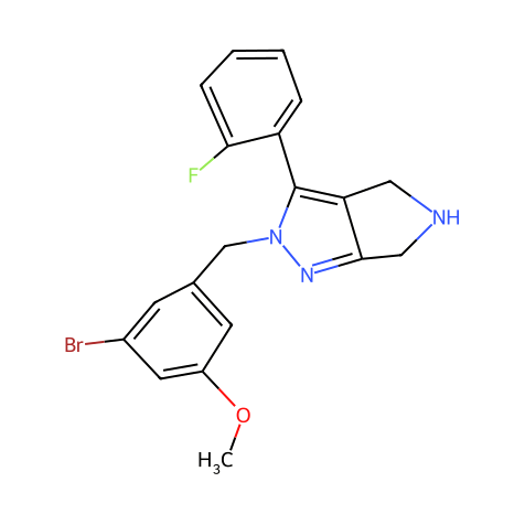 COc1cc(Br)cc(Cn2nc3c(c2-c2ccccc2F)CNC3)c1